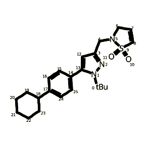 CC(C)(C)n1nc(CN2CC=CS2(=O)=O)cc1-c1ccc(C2CCCCC2)cc1